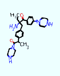 CCC(N)(Cc1ccc(C(C)C(=O)N2CCNCC2)cc1)C(=O)c1ccc(N2CCNCC2)cc1